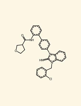 N=c1n(Cc2ccccc2Cl)c2ccccc2n1-c1ccc(-c2ccccc2NC(=O)C2CCOC2)cc1